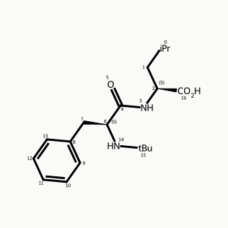 CC(C)C[C@H](NC(=O)[C@H](Cc1ccccc1)NC(C)(C)C)C(=O)O